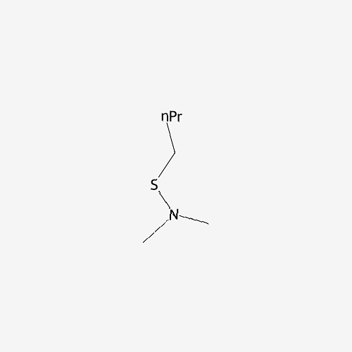 CCCCSN(C)C